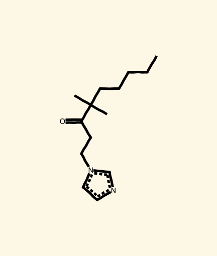 CCCCCC(C)(C)C(=O)CCn1ccnc1